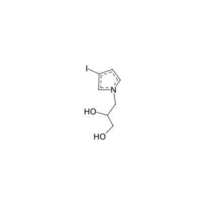 OCC(O)Cn1ccc(I)c1